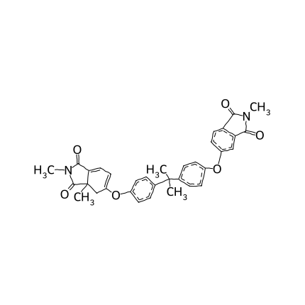 CN1C(=O)c2ccc(Oc3ccc(C(C)(C)c4ccc(OC5=CC=C6C(=O)N(C)C(=O)C6(C)C5)cc4)cc3)cc2C1=O